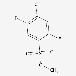 COS(=O)(=O)c1cc(F)c(Cl)cc1F